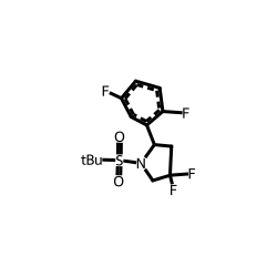 CC(C)(C)S(=O)(=O)N1CC(F)(F)CC1c1cc(F)ccc1F